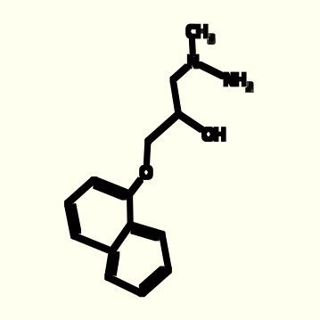 CN(N)CC(O)COc1cccc2ccccc12